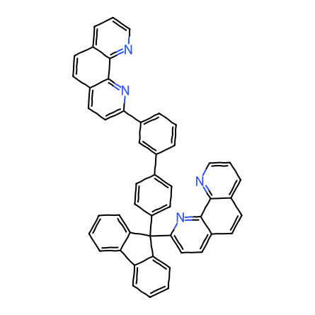 c1cc(-c2ccc(C3(c4ccc5ccc6cccnc6c5n4)c4ccccc4-c4ccccc43)cc2)cc(-c2ccc3ccc4cccnc4c3n2)c1